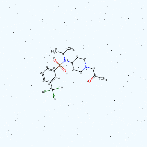 CC(=O)CN1CCC(N(C(C)C)S(=O)(=O)c2cccc(C(F)(F)F)c2)CC1